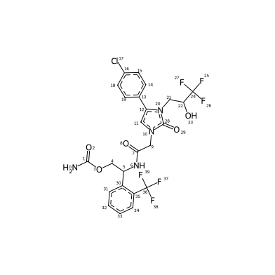 NC(=O)OCC(NC(=O)Cn1cc(-c2ccc(Cl)cc2)n(CC(O)C(F)(F)F)c1=O)c1ccccc1C(F)(F)F